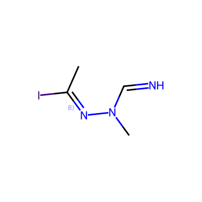 C/C(I)=N\N(C)C=N